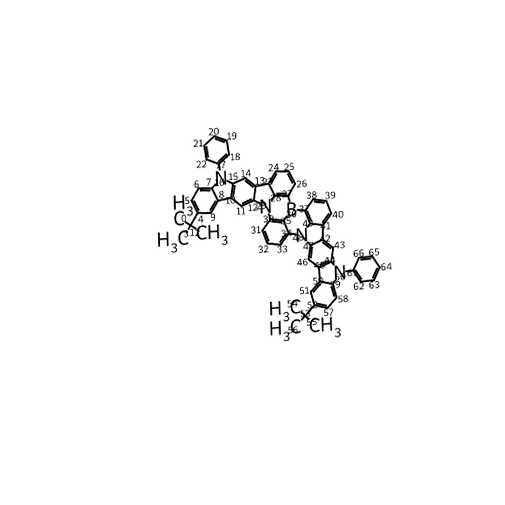 CC(C)(C)c1ccc2c(c1)c1cc3c(cc1n2-c1ccccc1)c1cccc2c1n3-c1cccc3c1B2c1cccc2c4cc5c(cc4n-3c12)c1cc(C(C)(C)C)ccc1n5-c1ccccc1